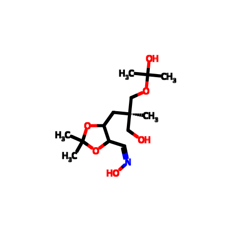 CC(C)(O)OC[C@@](C)(CO)CC1OC(C)(C)OC1/C=N\O